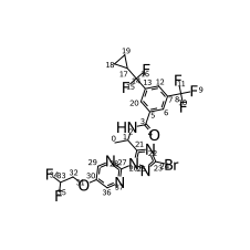 CC(NC(=O)c1cc(C(F)(F)F)cc(C(F)(F)C2CC2)c1)c1nc(Br)nn1-c1ncc(OCC(F)F)cn1